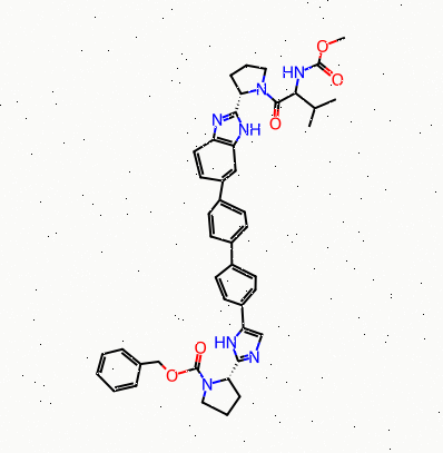 COC(=O)NC(C(=O)N1CCC[C@H]1c1nc2ccc(-c3ccc(-c4ccc(-c5cnc([C@@H]6CCCN6C(=O)OCc6ccccc6)[nH]5)cc4)cc3)cc2[nH]1)C(C)C